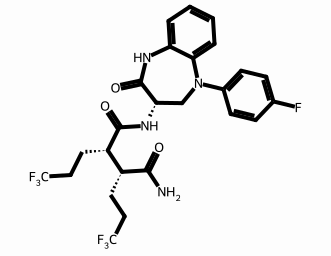 NC(=O)[C@H](CCC(F)(F)F)[C@H](CCC(F)(F)F)C(=O)N[C@H]1CN(c2ccc(F)cc2)c2ccccc2NC1=O